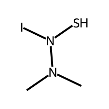 CN(C)N(S)I